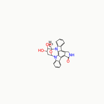 CC12OC(CC(O)C1O)n1c3ccccc3c3c4c(c5c6ccccc6n2c5c31)CNC4=O